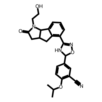 CC(C)Oc1ccc(C2NC(c3cccc4c3CC3CC(=O)N(CCO)C43)=NO2)cc1C#N